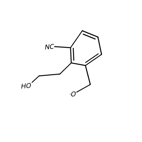 N#Cc1cccc(C[O])c1CCO